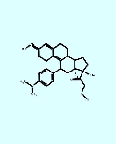 CCOCC(=O)[C@@]1(OC(C)=O)CCC2C3CCC4=C/C(=N/O)CCC4=C3C(c3ccc(N(C)C)cc3)C[C@@]21C